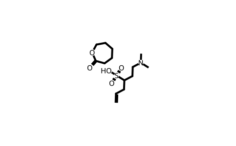 C=CCC(CCN(C)C)S(=O)(=O)O.O=C1CCCCCO1